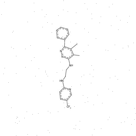 Cc1c(NCCNc2ccc(C(F)(F)F)cn2)nnc(-c2ccccc2)c1C